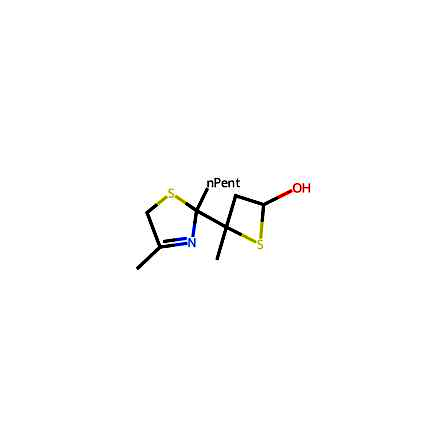 CCCCCC1(C2(C)CC(O)S2)N=C(C)CS1